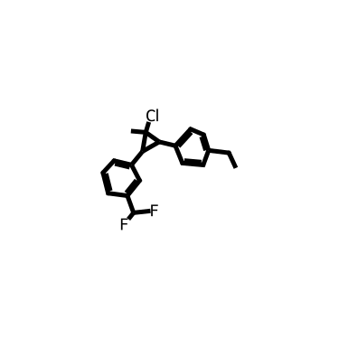 CCc1ccc(C2C(c3cccc(C(F)F)c3)C2(C)Cl)cc1